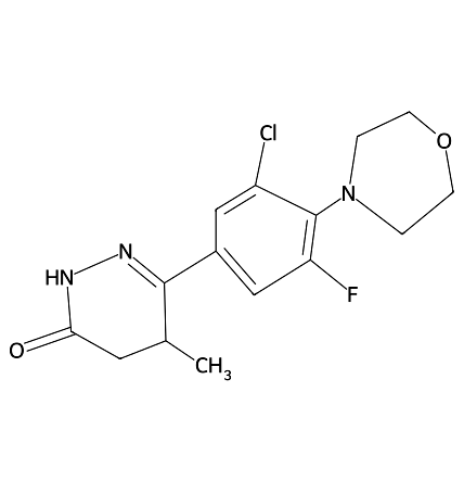 CC1CC(=O)NN=C1c1cc(F)c(N2CCOCC2)c(Cl)c1